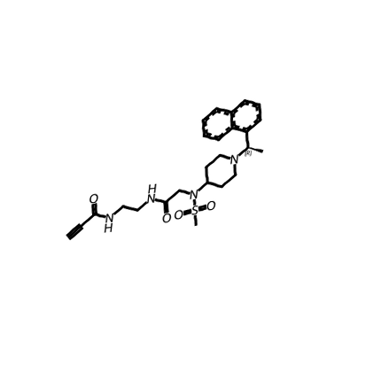 C#CC(=O)NCCNC(=O)CN(C1CCN([C@H](C)c2cccc3ccccc23)CC1)S(C)(=O)=O